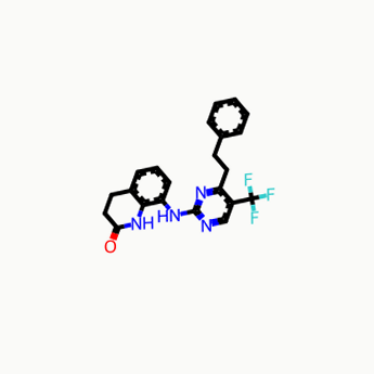 O=C1CCc2cccc(Nc3ncc(C(F)(F)F)c(CCc4ccccc4)n3)c2N1